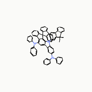 CC1(C)c2ccccc2-c2ccc(-n3c4ccc(N(c5ccccc5)c5ccccc5)cc4c4cc(N(c5ccccc5)c5ccccc5)c5c(c43)C3(c4ccccc4-c4ccccc43)c3ccccc3-5)cc21